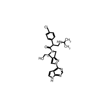 CC(C)NCC(C(=O)N1Cc2nn(-c3ncnc4[nH]ccc34)cc2[C@H]1CO)c1ccc(Cl)cc1